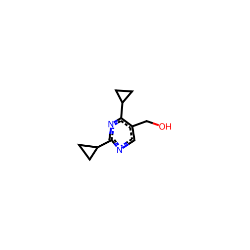 OCc1cnc(C2CC2)nc1C1CC1